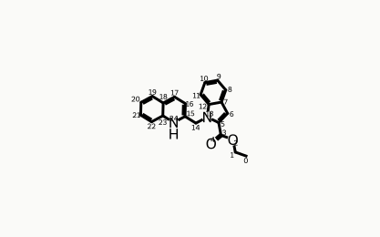 CCOC(=O)c1cc2ccccc2n1CC1=CC=C2C=CC=CC2N1